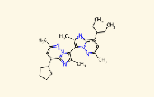 CCC(CC)c1cc(C)nn2c(-c3c(C)nc4c(C5CCCC5)cc(C)nn34)c(C)nc12